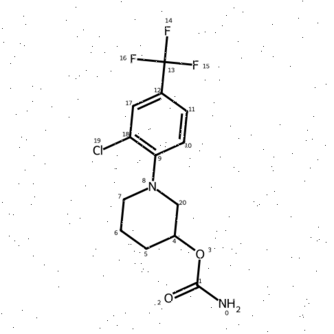 NC(=O)OC1CCCN(c2ccc(C(F)(F)F)cc2Cl)C1